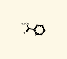 COC(=O)c1[c]cc[c]c1